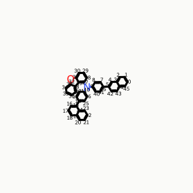 c1ccc2cc(-c3ccc(N(c4ccc(-c5cccc6ccccc56)cc4)c4cccc5oc6ccccc6c45)cc3)ccc2c1